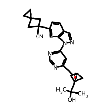 CC(C)(O)C12CC(C1)N(c1cc(-n3ncc4ccc(C5(C#N)CC6(CC6)C5)cc43)ncn1)C2